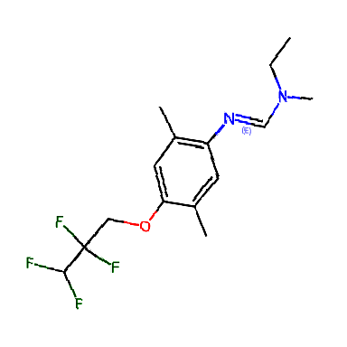 CCN(C)/C=N/c1cc(C)c(OCC(F)(F)C(F)F)cc1C